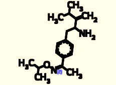 C=C(C(C)C)C(N)Cc1ccc(/C(C)=N\OC(C)C)cc1